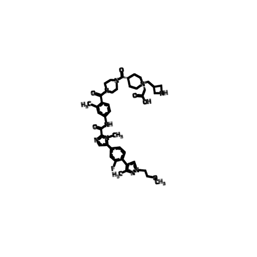 COCCn1cc(-c2ccc(-c3cnc(C(=O)Nc4ccc(C(=O)N5CCN(C(=O)[C@H]6CC[N@+](CC(=O)O)(CC7CNC7)CC6)CC5)c(C)c4)n3C)cc2F)c(C)n1